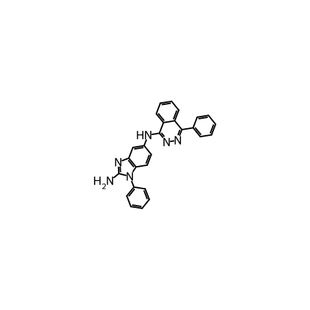 Nc1nc2cc(Nc3nnc(-c4ccccc4)c4ccccc34)ccc2n1-c1ccccc1